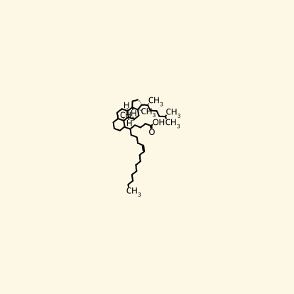 CCCCCCCC/C=C\CCCC(CCCC(=O)O)C1CCCC2CC[C@@H]3[C@H](CC[C@]4(C)[C@@H]([C@H](C)CCCC(C)C)CC[C@@H]34)[C@]21C